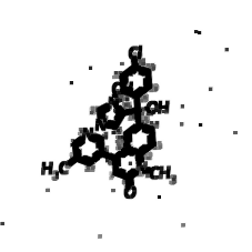 Cc1cncc(-c2cc(=O)n(C)c3ccc([C@](O)(c4ccc(Cl)cc4)c4cncn4C)cc23)c1